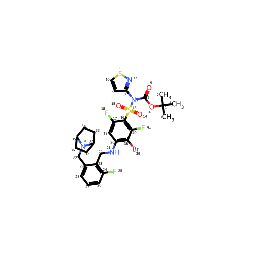 CC(C)(C)OC(=O)N(c1ccsn1)S(=O)(=O)c1c(F)cc(NCc2c(F)cccc2CN2C3CCC2CC3)c(Br)c1F